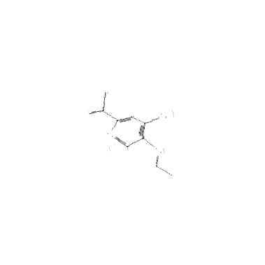 CCNc1cnc(C(C)C)cc1N.Cl